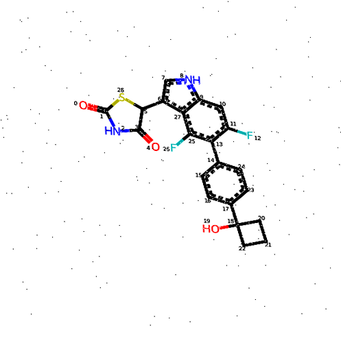 O=C1NC(=O)C(c2c[nH]c3cc(F)c(-c4ccc(C5(O)CCC5)cc4)c(F)c23)S1